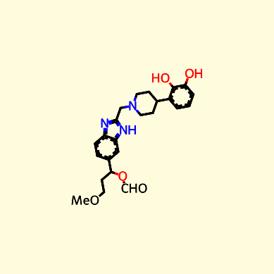 COCCC(OC=O)c1ccc2nc(CN3CCC(c4cccc(O)c4O)CC3)[nH]c2c1